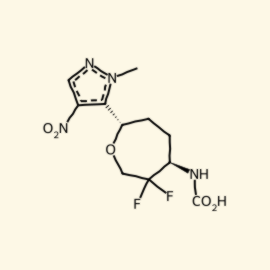 Cn1ncc([N+](=O)[O-])c1[C@@H]1CC[C@@H](NC(=O)O)C(F)(F)CO1